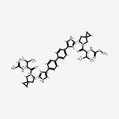 COC(=O)N[C@@H](C(=O)N1CC2(CC2)C[C@H]1c1nc(-c2ccc(-c3ccc(-c4c[nH]c([C@@H]5CC6(CC6)CN5C(=O)[C@H](NC(=O)O)C(C)C)n4)cc3)cc2)c[nH]1)C(C)C